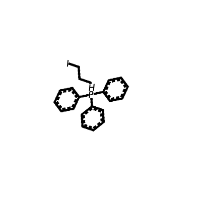 ICCC[PH](c1ccccc1)(c1ccccc1)c1ccccc1